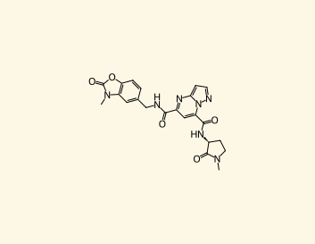 CN1CC[C@H](NC(=O)c2cc(C(=O)NCc3ccc4oc(=O)n(C)c4c3)nc3ccnn23)C1=O